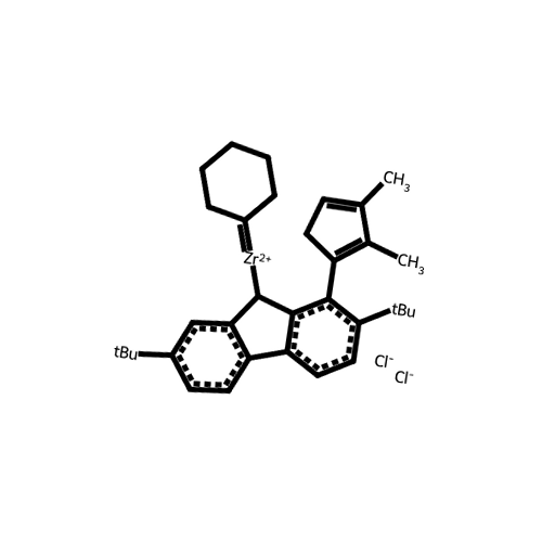 CC1=CCC(c2c(C(C)(C)C)ccc3c2[CH]([Zr+2]=[C]2CCCCC2)c2cc(C(C)(C)C)ccc2-3)=C1C.[Cl-].[Cl-]